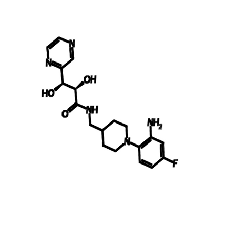 Nc1cc(F)ccc1N1CCC(CNC(=O)[C@H](O)[C@@H](O)c2cnccn2)CC1